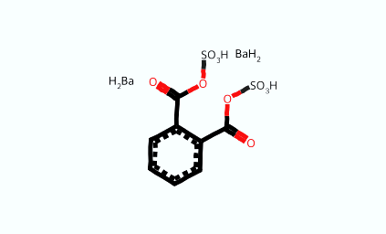 O=C(OS(=O)(=O)O)c1ccccc1C(=O)OS(=O)(=O)O.[BaH2].[BaH2]